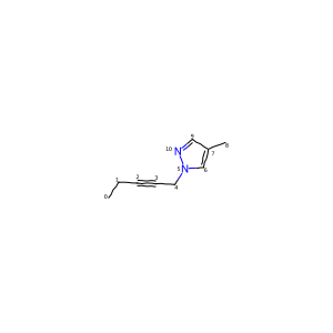 CCC#CCn1cc(C)cn1